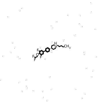 CCCCC[Si@H]1CC[C@H](c2ccc(-c3cc(F)c(OCC(F)F)c(F)c3)cc2)CC1